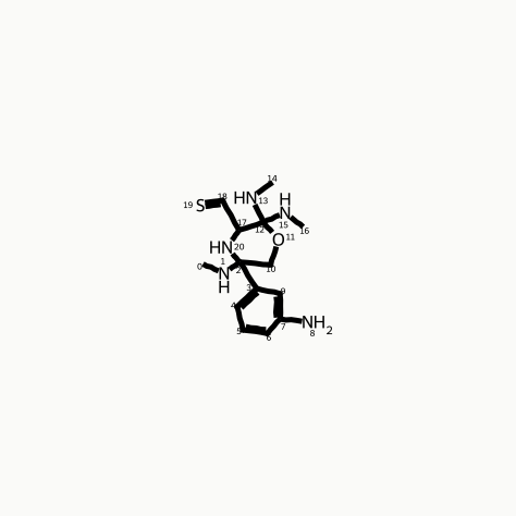 CNC1(c2cccc(N)c2)COC(NC)(NC)C(C=S)N1